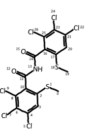 CSc1cc(Cl)c(Cl)c(Cl)c1C(=O)NC(=O)c1c(SC)cc(Cl)c(Cl)c1Cl